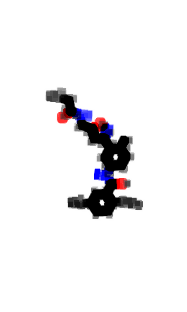 COc1ccc(C(C)(C)C)cc1C(=O)Nc1ccc(C)c(-c2cc(CNC(=O)CC(C)(C)C)on2)c1